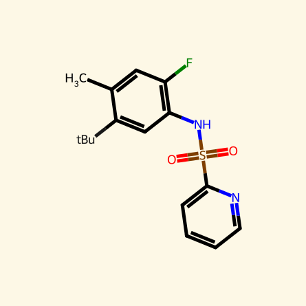 Cc1cc(F)c(NS(=O)(=O)c2ccccn2)cc1C(C)(C)C